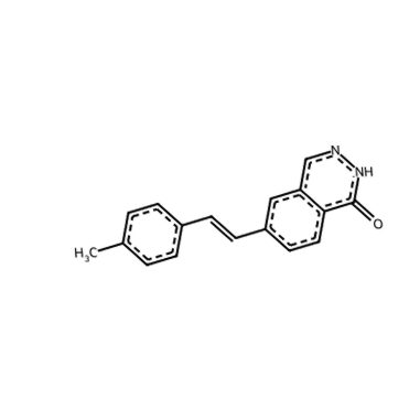 Cc1ccc(C=Cc2ccc3c(=O)[nH]ncc3c2)cc1